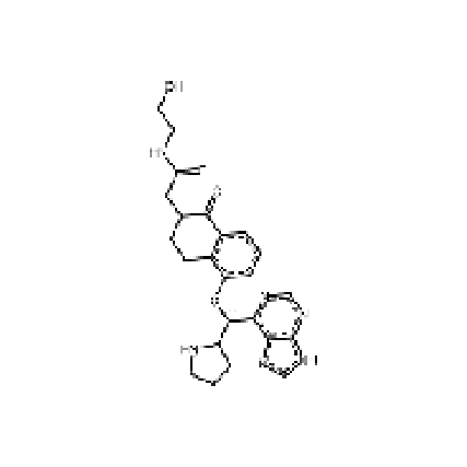 O=C(CC1CCc2c(O[C@@H](c3ncnc4[nH]cnc34)C3CCCN3)cccc2C1=O)NCCO